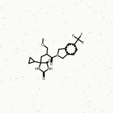 COCC(CC1(C2CC2)NC(=O)NC1=O)C(=O)N1Cc2ccc(C(F)(F)F)cc2C1